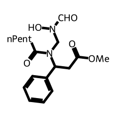 CCCCCC(=O)N(CN(O)C=O)C(CC(=O)OC)c1ccccc1